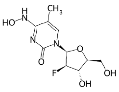 Cc1cn([C@H]2O[C@@H](CO)[C@H](O)[C@H]2F)c(=O)nc1NO